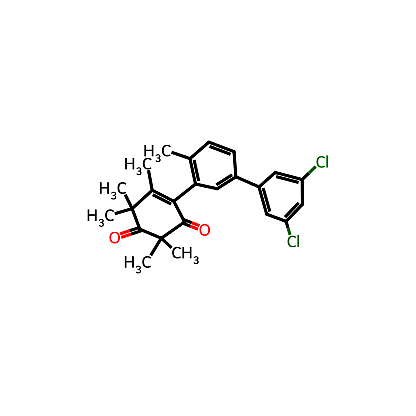 CC1=C(c2cc(-c3cc(Cl)cc(Cl)c3)ccc2C)C(=O)C(C)(C)C(=O)C1(C)C